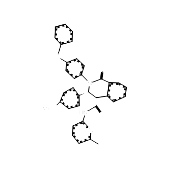 COc1ccc([C@@H]2[C@@H](C(=O)Nc3cccc(C)n3)c3ccccc3C(=O)N2c2ccc(Oc3ccccc3)cc2)cc1